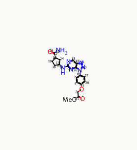 COC(=O)COc1ccc(-n2nnc3cnc(N[C@@H]4CC[C@@H](C(N)=O)C4)nc32)cc1